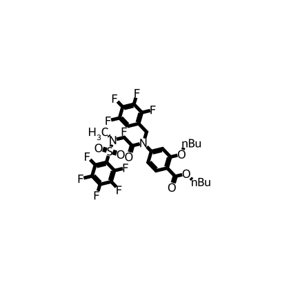 CCCCOC(=O)c1ccc(N(Cc2c(F)c(F)c(F)c(F)c2F)C(=O)CN(C)S(=O)(=O)c2c(F)c(F)c(F)c(F)c2F)cc1OCCCC